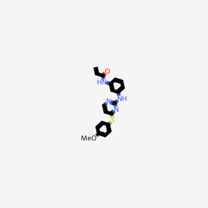 C=CC(=O)Nc1cccc(Nc2nccc(Sc3ccc(OC)cc3)n2)c1